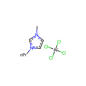 CCC[n+]1ccn(C)c1.[Cl][Al-]([Cl])([Cl])[Cl]